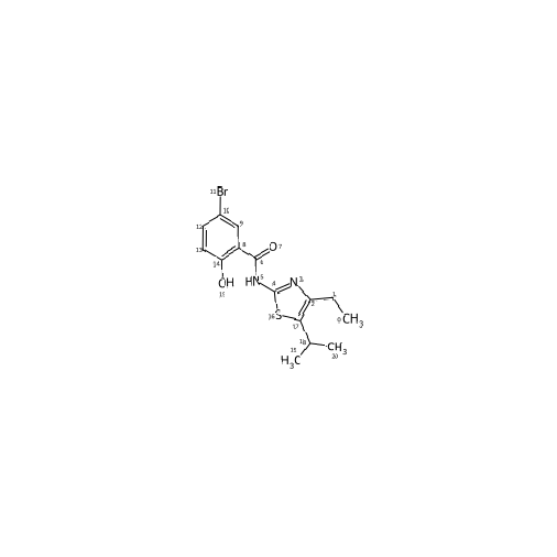 CCc1nc(NC(=O)c2cc(Br)ccc2O)sc1C(C)C